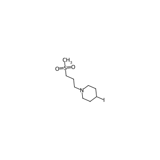 CS(=O)(=O)CCCN1CCC(I)CC1